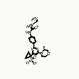 CCS(=O)(=O)C1(c2cc(N3CCOC[C@@H]3C)nc(-c3ccc(NC(=O)NCC(C)C)cc3)n2)CC1